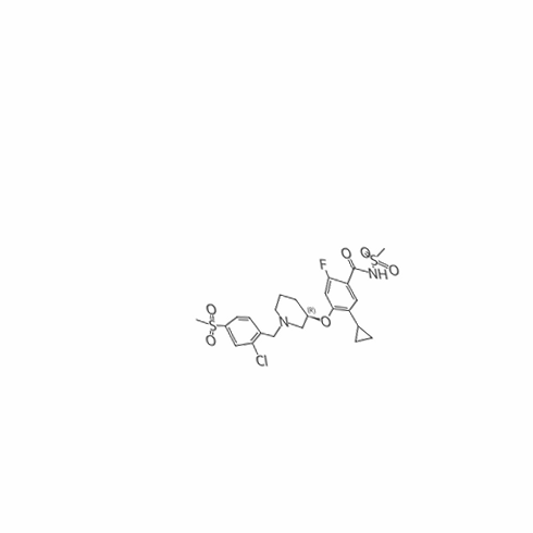 CS(=O)(=O)NC(=O)c1cc(C2CC2)c(O[C@@H]2CCCN(Cc3ccc(S(C)(=O)=O)cc3Cl)C2)cc1F